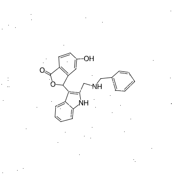 O=C1OC(c2c(CNCc3ccccc3)[nH]c3ccccc23)c2cc(O)ccc21